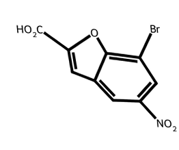 O=C(O)c1cc2cc([N+](=O)[O-])cc(Br)c2o1